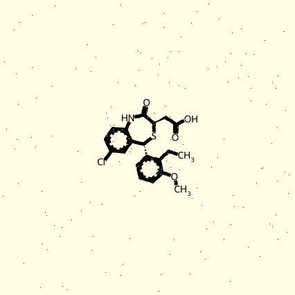 CCc1c(OC)cccc1[C@H]1S[C@H](CC(=O)O)C(=O)Nc2ccc(Cl)cc21